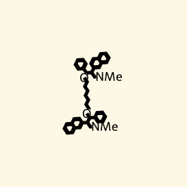 CNCC(c1ccc2ccccc2c1)C(OCCCCCCCOC(c1ccccc1)C(CNC)c1ccc2ccccc2c1)c1ccccc1